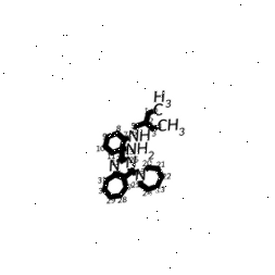 CCC(CC)CNC1CCCCC1(N)c1nc2c(c(N3CCCCCC3)n1)CCCCC2